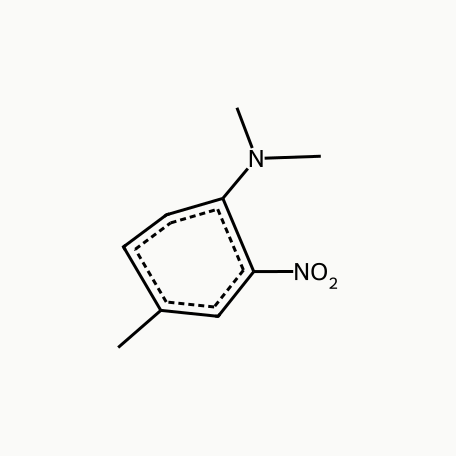 Cc1ccc(N(C)C)c([N+](=O)[O-])c1